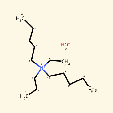 CCCCC[N+](CC)(CCC)CCCCC.[OH-]